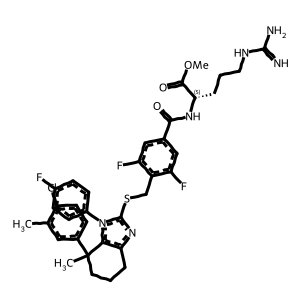 COC(=O)[C@H](CCCNC(=N)N)NC(=O)c1cc(F)c(CSc2nc3c(n2-c2ccc(F)cc2)C(C)(c2ccc(Cl)c(C)c2)CCC3)c(F)c1